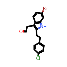 O=CCc1c(CCc2ccc(Cl)cc2)[nH]c2cc(Br)ccc12